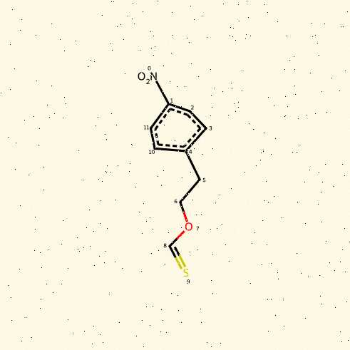 O=[N+]([O-])c1ccc(CCOC=S)cc1